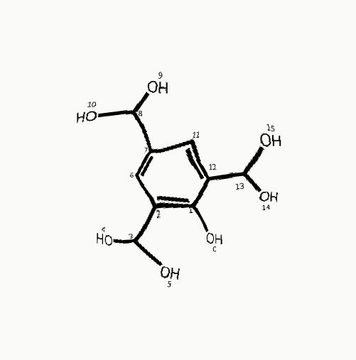 Oc1c(C(O)O)cc(C(O)O)cc1C(O)O